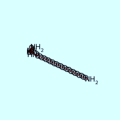 NCCOCCOCCOCCOCCOCCOCCOCCOCCOCCOCCOCCOCCOCCOCCOCCOCCOCCOCCOCCOCCOCCOCCOCCOCCC(=O)NCCCCn1nc(-c2ccc3oc(N)nc3c2)c2c(N)ncnc21